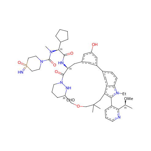 CCn1c(-c2cccnc2[C@H](C)OC)c2c3cc(ccc31)-c1cc(O)cc(c1)C[C@H](NC(=O)[C@H](C1CCCC1)N(C)C(=O)N1CCS(=N)(=O)CC1)C(=O)N1CCC[C@](C=O)(COCC(C)(C)C2)N1